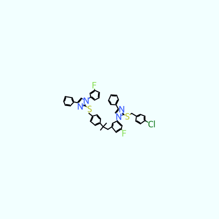 CC(C)(Cc1cc(F)cc(-n2cc(-c3ccccc3)nc2SCc2ccc(Cl)cc2)c1)c1ccc(CSc2nc(-c3ccccc3)cn2-c2cccc(F)c2)cc1